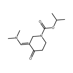 CC(C)OC(=O)N1CCC(=O)C(=CN(C)C)C1